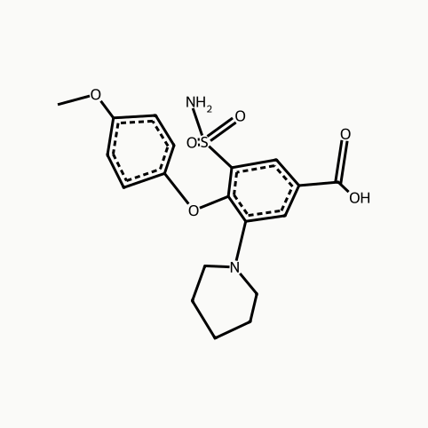 COc1ccc(Oc2c(N3CCCCC3)cc(C(=O)O)cc2S(N)(=O)=O)cc1